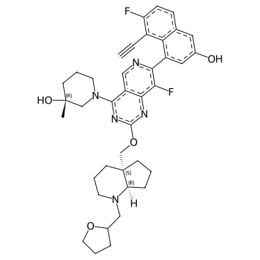 C#Cc1c(F)ccc2cc(O)cc(-c3ncc4c(N5CCC[C@@](C)(O)C5)nc(OC[C@]56CCC[C@H]5N(CC5CCCO5)CCC6)nc4c3F)c12